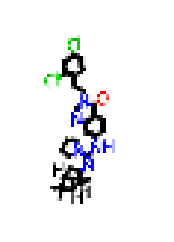 C[C@@H]1C(/N=C(/Nc2ccc3c(=O)n(CCc4ccc(Cl)cc4Cl)cnc3c2)N2CCCC2)C[C@@H]2C[C@H]1C2(C)C